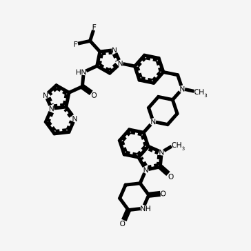 CN(Cc1ccc(-n2cc(NC(=O)c3cnn4cccnc34)c(C(F)F)n2)cc1)C1CCN(c2cccc3c2n(C)c(=O)n3C2CCC(=O)NC2=O)CC1